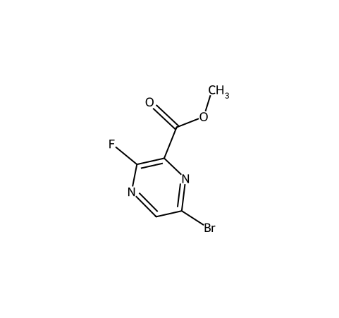 COC(=O)c1nc(Br)cnc1F